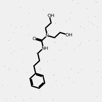 O=C(N[CH]CCc1ccccc1)N(CCO)CCO